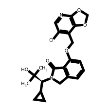 CC(C)(O)[C@H](C1CC1)N1Cc2cccc(OCc3c(Cl)cnc4c3OCO4)c2C1=O